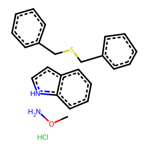 CON.Cl.c1ccc(CSCc2ccccc2)cc1.c1ccc2[nH]ccc2c1